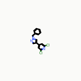 Clc1cc(-c2cnn(Cc3ccccc3)c2)cc(Cl)n1